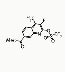 COC(=O)c1ccc2c(C)c(F)c(OS(=O)(=O)C(F)(F)F)nc2c1